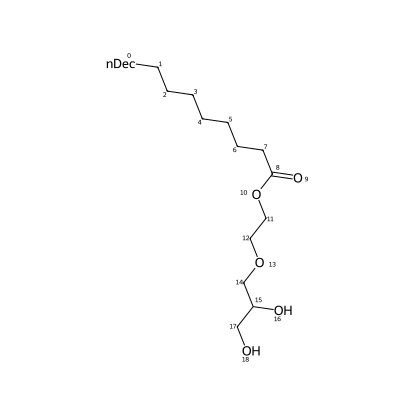 CCCCCCCCCCCCCCCCCC(=O)OCCOCC(O)CO